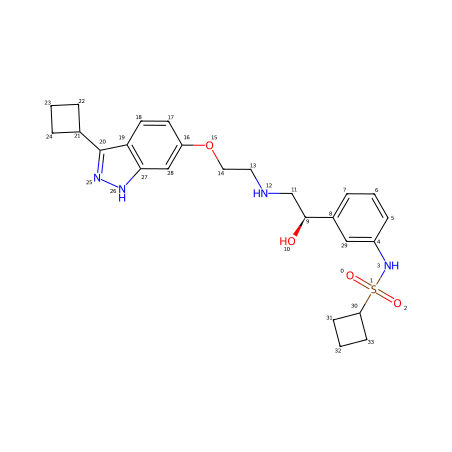 O=S(=O)(Nc1cccc([C@@H](O)CNCCOc2ccc3c(C4CCC4)n[nH]c3c2)c1)C1CCC1